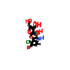 OC[C@H]1OC(Oc2c[nH]c3ccc(Br)c(Cl)c23)[C@@H](O)[C@@H]1O